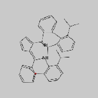 CC(C)c1cccc(C(C)C)c1NC(=C1C=CC=C1C(=N)c1ccccc1-c1c(C(C)C)cccc1C(C)C)c1ccccc1